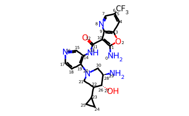 Nc1oc2cc(C(F)(F)F)cnc2c1C(=O)Nc1cnccc1N1CC(C2CC2)[C@@H](O)[C@H](N)C1